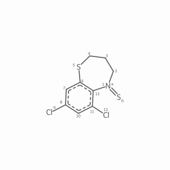 S=[N+]1CCCSc2cc(Cl)cc(Cl)c21